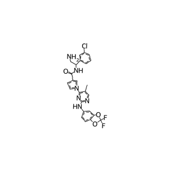 Cc1cnc(Nc2ccc3c(c2)OC(F)(F)O3)nc1-n1ccc(C(=O)NC(CN)c2cccc(Cl)c2)c1